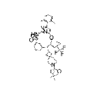 Cc1cccc(C)c1-c1cc2nc(n1)NS(=O)(=O)c1cccc(c1)C(C1CC3(CCN(C(=O)OC(C)(C)C)CC3)C1)[C@H](CC1(C(F)(F)F)CC1)CO2